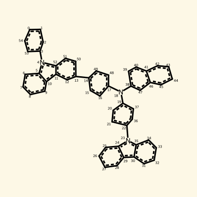 c1ccc(-n2c3ccccc3c3cc(-c4ccc(N(c5ccc(-n6c7ccccc7c7ccccc76)cc5)c5ccc6ccccc6c5)cc4)ccc32)cc1